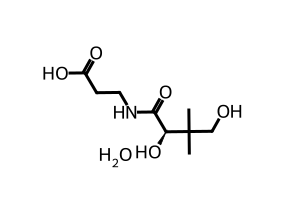 CC(C)(CO)[C@@H](O)C(=O)NCCC(=O)O.O